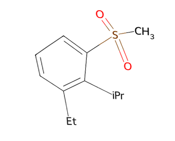 CCc1cccc(S(C)(=O)=O)c1C(C)C